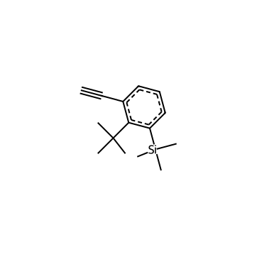 C#Cc1cccc([Si](C)(C)C)c1C(C)(C)C